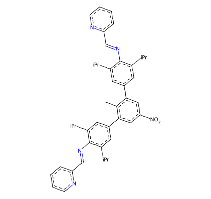 Cc1c(-c2cc(C(C)C)c(N=Cc3ccccn3)c(C(C)C)c2)cc([N+](=O)[O-])cc1-c1cc(C(C)C)c(N=Cc2ccccn2)c(C(C)C)c1